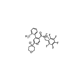 Cc1ccccc1-c1cc([N+]2([O-])CCOCC2)ncc1C(=O)N(C)Cc1c(F)c(F)c(F)c(F)c1F